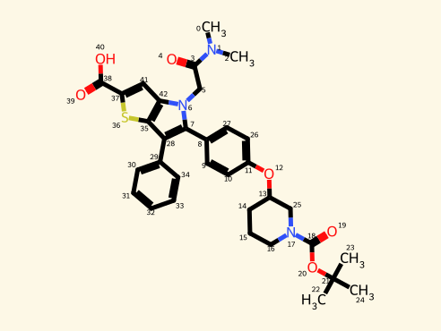 CN(C)C(=O)Cn1c(-c2ccc(OC3CCCN(C(=O)OC(C)(C)C)C3)cc2)c(-c2ccccc2)c2sc(C(=O)O)cc21